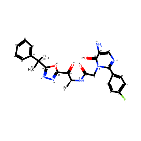 CC(C)[C@H](NC(=O)Cn1c(-c2ccc(F)cc2)ncc(N)c1=O)C(=O)c1nnc(C(C)(C)c2ccccc2)o1